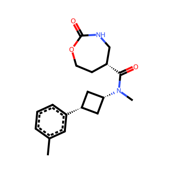 Cc1cccc([C@H]2C[C@@H](N(C)C(=O)[C@@H]3CCOC(=O)NC3)C2)c1